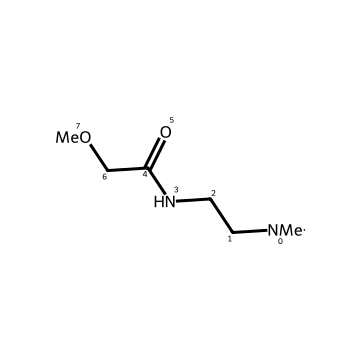 C[N]CCNC(=O)COC